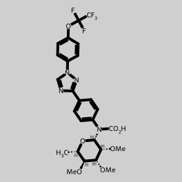 CO[C@@H]1[C@@H](OC)[C@H](C)O[C@H](N(C(=O)O)c2ccc(-c3ncn(-c4ccc(OC(F)(F)C(F)(F)F)cc4)n3)cc2)[C@@H]1OC